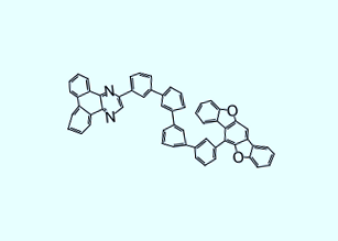 c1cc(-c2cccc(-c3cccc(-c4c5oc6ccccc6c5cc5oc6ccccc6c45)c3)c2)cc(-c2cccc(-c3cnc4c5ccccc5c5ccccc5c4n3)c2)c1